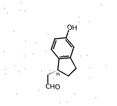 O=CC[C@H]1CCc2cc(O)ccc21